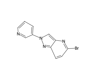 Brc1ccc2nn(-c3cccnc3)cc2n1